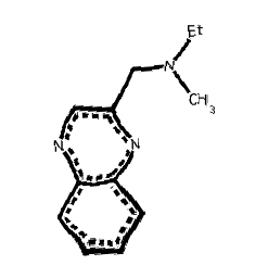 CCN(C)Cc1cnc2ccccc2n1